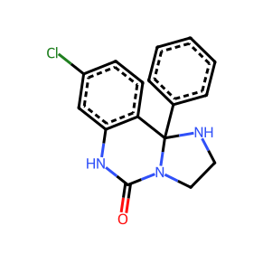 O=C1Nc2cc(Cl)ccc2C2(c3ccccc3)NCCN12